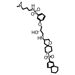 CN(C)CCCNS(=O)(=O)c1cccc(OC[C@@H](O)CNC2COC3(CCN(S(=O)(=O)c4ccc5c(c4)CCCC5)CC3)C2)c1